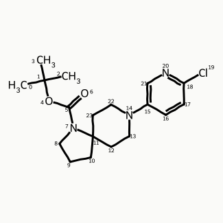 CC(C)(C)OC(=O)N1CCCC12CCN(c1ccc(Cl)nc1)CC2